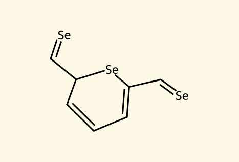 [Se]=CC1=CC=CC(C=[Se])[Se]1